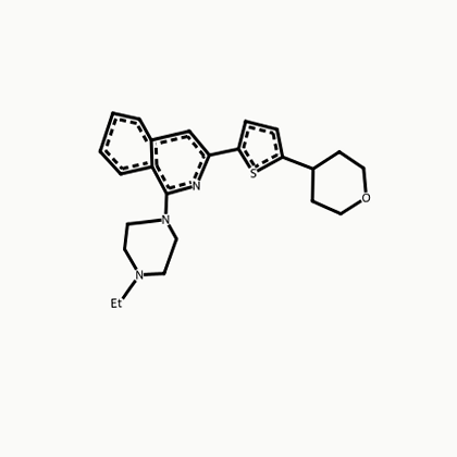 CCN1CCN(c2nc(-c3ccc(C4CCOCC4)s3)cc3ccccc23)CC1